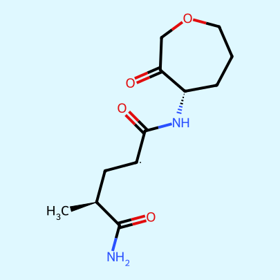 C[C@@H](C[CH]C(=O)N[C@H]1CCCOCC1=O)C(N)=O